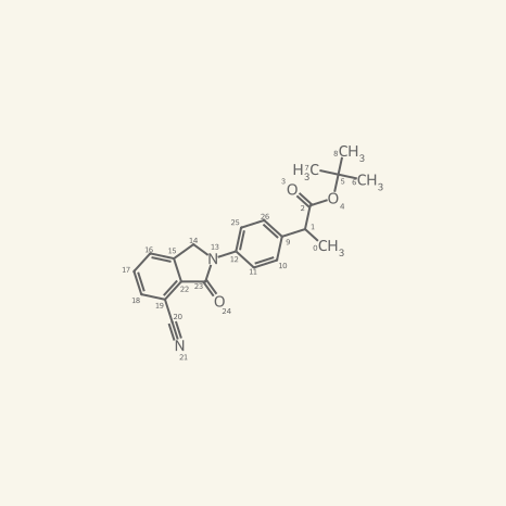 CC(C(=O)OC(C)(C)C)c1ccc(N2Cc3cccc(C#N)c3C2=O)cc1